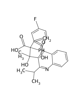 C=CC(C(=O)O)([PH](=O)O)C(C)(O)c1c(C(C)C)nc2ccccc2c1-c1ccc(F)cc1